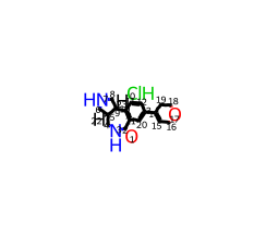 Cl.O=C1NC[C@H]2CNC[C@@H]2c2ccc(C3=CCOCC3)cc21